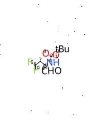 CC(C)(C)OC(=O)N[C@H](C=O)CC(F)F